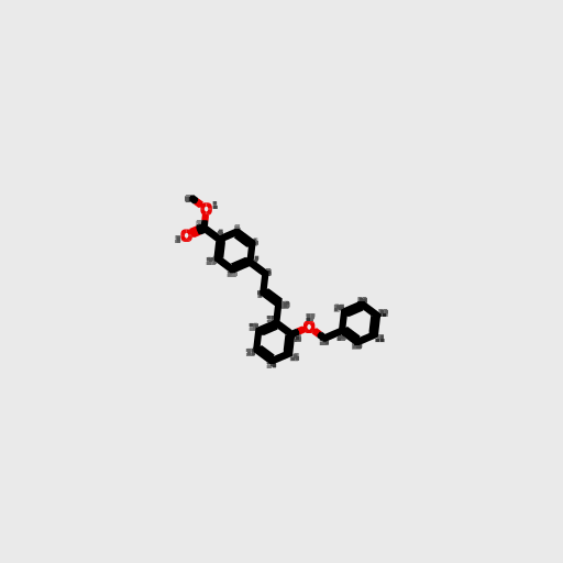 COC(=O)c1ccc(C/C=C/c2ccccc2OCc2ccccc2)cc1